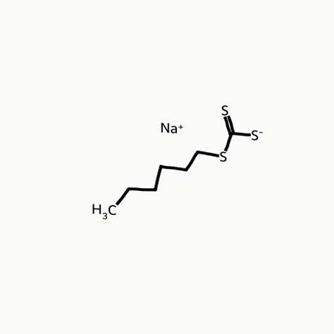 CCCCCCSC(=S)[S-].[Na+]